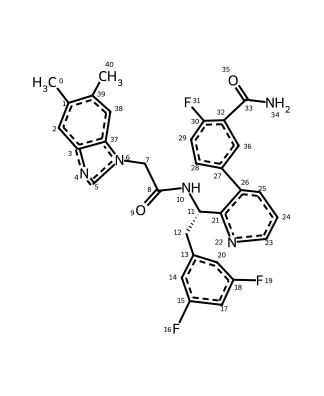 Cc1cc2ncn(CC(=O)N[C@@H](Cc3cc(F)cc(F)c3)c3ncccc3-c3ccc(F)c(C(N)=O)c3)c2cc1C